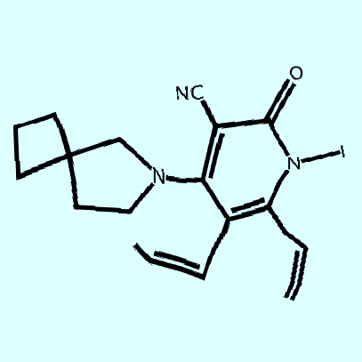 C=Cc1c(/C=C\C)c(N2CCC3(CCC3)C2)c(C#N)c(=O)n1I